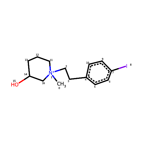 C[N+]1(CCc2ccc(I)cc2)CCCC(O)C1